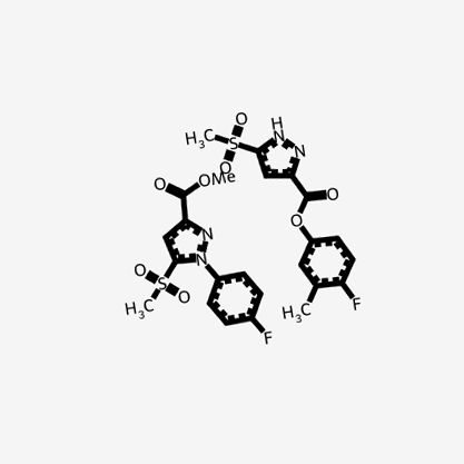 COC(=O)c1cc(S(C)(=O)=O)n(-c2ccc(F)cc2)n1.Cc1cc(OC(=O)c2cc(S(C)(=O)=O)[nH]n2)ccc1F